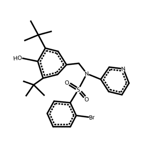 CC(C)(C)c1cc(CN(c2cccnc2)S(=O)(=O)c2ccccc2Br)cc(C(C)(C)C)c1O